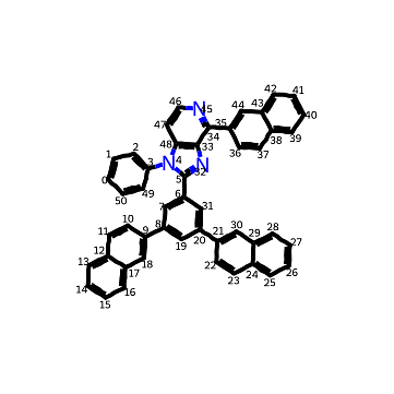 c1ccc(-n2c(-c3cc(-c4ccc5ccccc5c4)cc(-c4ccc5ccccc5c4)c3)nc3c(-c4ccc5ccccc5c4)nccc32)cc1